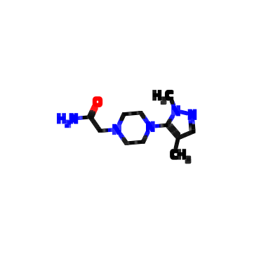 Cc1cnn(C)c1N1CCN(CC(N)=O)CC1